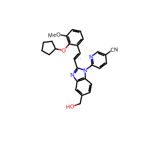 COc1cccc(/C=C/c2nc3cc(CO)ccc3n2-c2ccc(C#N)cn2)c1OC1CCCC1